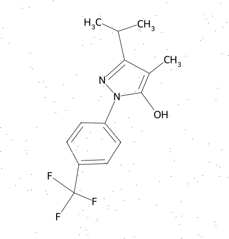 Cc1c(C(C)C)nn(-c2ccc(C(F)(F)F)cc2)c1O